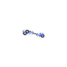 c1ccc(CNCCCCNCc2ccc3ncccc3c2)nc1